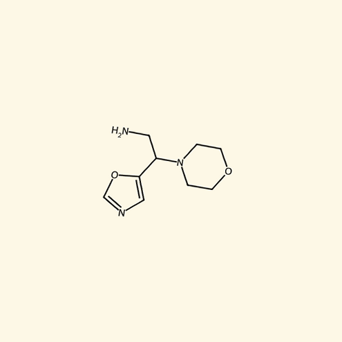 NCC(c1cnco1)N1CCOCC1